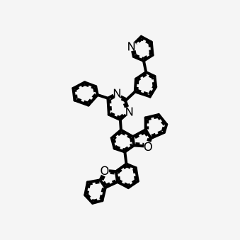 c1ccc(-c2cc(-c3ccc(-c4cccc5c4oc4ccccc45)c4oc5ccccc5c34)nc(-c3cccc(-c4cccnc4)c3)n2)cc1